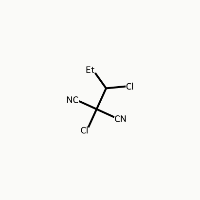 CCC(Cl)C(Cl)(C#N)C#N